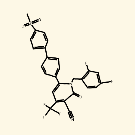 CS(=O)(=O)c1ccc(-c2ccc(-c3cc(C(F)(F)F)c(C#N)c(=O)n3Cc3ccc(F)cc3F)cc2)cc1